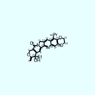 C=C1OCc2c(cc3n(c2=O)Cc2cc4c(C(C)C)c5c(cc4nc2-3)OCCO5)[C@@]1(O)CC